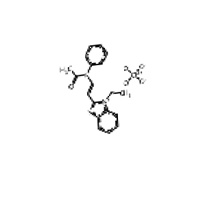 CC[n+]1c(C=CN(C(C)=O)c2ccccc2)sc2ccccc21.[O-][Cl+3]([O-])([O-])[O-]